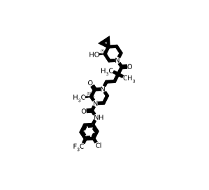 C[C@H]1C(=O)N(CCC(C)(C)C(=O)N2CCC3(CC3)[C@H](O)C2)CCN1C(=O)Nc1ccc(C(F)(F)F)c(Cl)c1